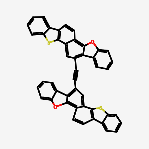 C(#Cc1cc2c(ccc3c4ccccc4sc32)c2oc3ccccc3c12)c1cc2c(ccc3c4ccccc4sc32)c2oc3ccccc3c12